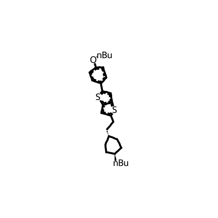 CCCCOc1ccc(-c2cc3sc(CC[C@H]4CC[C@H](CCCC)CC4)cc3s2)cc1